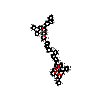 c1ccc(-c2ccccc2-c2c(-c3ccccc3)cccc2N(c2ccc(-c3ccc4c(ccc5ccccc54)c3)cc2)c2ccc(-c3ccc4c(c3)sc3ccc(-c5cccc6c5ccc5cc(-c7ccc(N(c8ccccc8-c8cccc9c8sc8ccccc89)c8cccc(-c9ccccc9)c8-c8ccccc8-c8ccccc8)cc7)ccc56)cc34)cc2)cc1